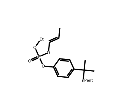 CC=COP(=O)(OCC)Oc1ccc(C(C)(C)CCCCC)cc1